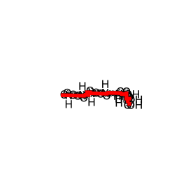 COCC(=O)NCCOCCOCCNC(=O)c1ccc(C(=O)NCCOCCOCCNC(=O)CCCCCCCNC(=O)CC[C@H](NC(=O)N[C@@H](CCC(=O)O)C(=O)O)C(=O)O)cc1